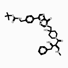 CN/C=C(\C(=N)Cc1ccccc1)C(=O)N1CCC(O)(Cn2cnn3c(-c4ccc(CNC(=O)OC(C)(C)C)cc4)cnc3c2=O)CC1